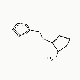 CN1CCCC1OCc1cccnc1